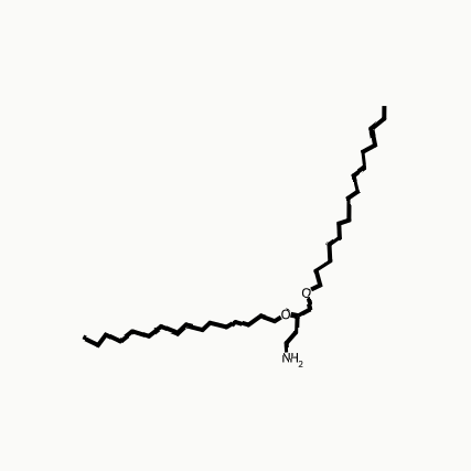 CCCCCCCCCCCCCCCCOCC(CCN)OCCCCCCCCCCCCCCCC